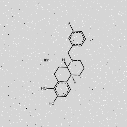 Br.Oc1ccc2c(c1O)CC[C@H]1[C@H]2CCCN1Cc1cccc(F)c1